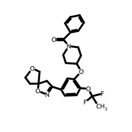 CC(F)(F)Oc1ccc(C2=NOC3(CCOC3)C2)cc1OC1CCN(C(=O)c2ccccc2)CC1